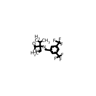 C=CC(N=Cc1cc(C(F)(F)F)cc(C(F)(F)F)c1)(C(=O)O)C(C)C